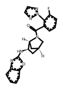 O=C(c1cccc(F)c1-n1nccn1)N1C[C@H]2C[C@@H](Nc3nc4ccccc4o3)[C@@H]1C2